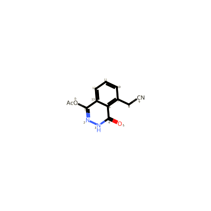 CC(=O)Oc1n[nH]c(=O)c2c(CC#N)cccc12